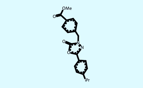 COC(=O)c1ccc(Cn2nc(-c3ccc(C(C)C)cc3)oc2=O)cc1